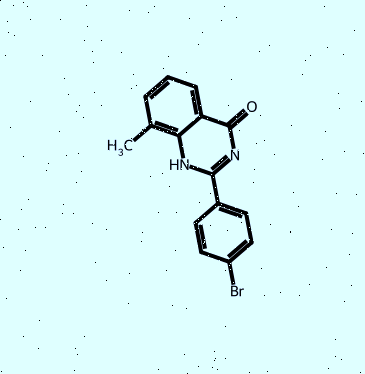 Cc1cccc2c(=O)nc(-c3ccc(Br)cc3)[nH]c12